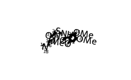 COc1cc(OC)c(C(=O)Nc2nc(C(=O)OCCN(C)C)cs2)cc1OC